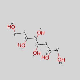 OCCC(O)C(O)C(O)CC(O)CO